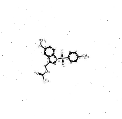 COc1ccc2c(c1)c(COC(C)=O)cn2S(=O)(=O)c1ccc(C)cc1